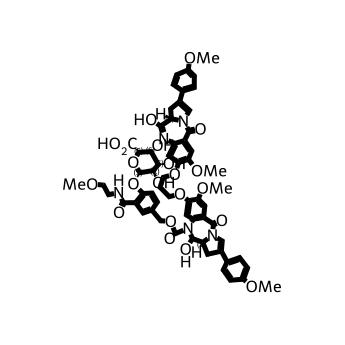 COCCNC(=O)c1cc(COC(=O)N2c3cc(OCCCOc4cc5c(cc4OC)C(=O)N4C=C(c6ccc(OC)cc6)C[C@H]4C(O)=N5)c(OC)cc3C(=O)N3C=C(c4ccc(OC)cc4)C[C@H]3C2O)ccc1O[C@@H]1O[C@H](C(=O)O)[C@@H](O)[C@H](O)[C@H]1O